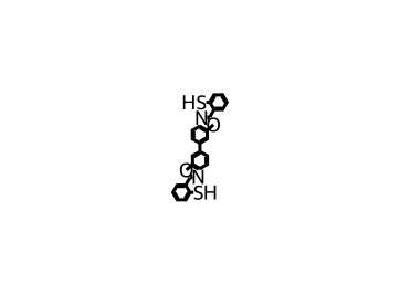 Sc1ccccc1-c1nc2ccc(-c3ccc4nc(-c5ccccc5S)oc4c3)cc2o1